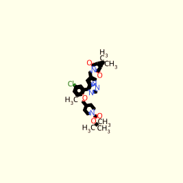 Cc1cc(Cl)cc(-c2ncnn3cc(CN4C(=O)C5C(C4=O)C5(C)C)cc23)c1OCC1CCN(C(=O)OC(C)(C)C)CC1